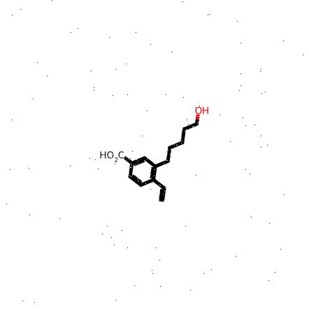 C=Cc1ccc(C(=O)O)cc1CCCCCO